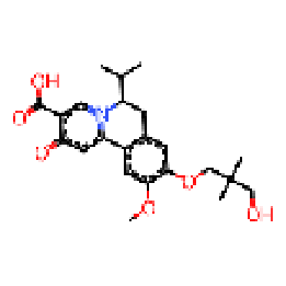 COc1cc2c(cc1OCC(C)(C)CO)CC(C(C)C)n1cc(C(=O)O)c(=O)cc1-2